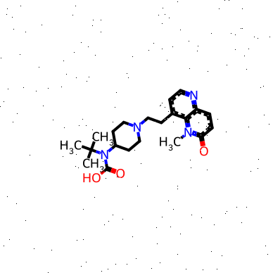 Cn1c(=O)ccc2nccc(CCN3CCC(N(C(=O)O)C(C)(C)C)CC3)c21